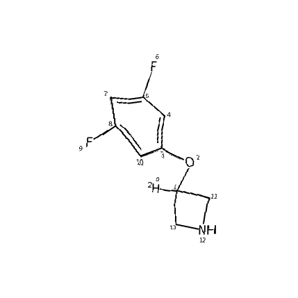 [2H]C1(Oc2cc(F)cc(F)c2)CNC1